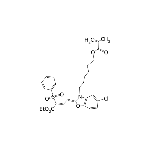 C=C(C)C(=O)OCCCCCCN1/C(=C/C=C(/C(=O)OCC)S(=O)(=O)c2ccccc2)Oc2ccc(Cl)cc21